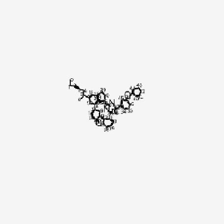 CCC#C/C=C(\C)c1cccc(-c2ccc3oc4cccc(-c5nc(-c6ccccc6)nc(-c6cccc(Oc7ccccc7)c6)n5)c4c3c2)c1